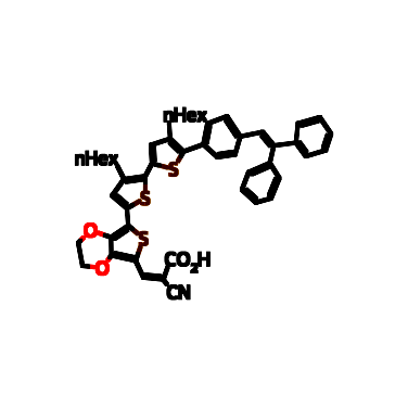 CCCCCCc1cc(-c2sc(-c3sc(/C=C(/C#N)C(=O)O)c4c3OCCO4)cc2CCCCCC)sc1-c1ccc(C=C(c2ccccc2)c2ccccc2)cc1